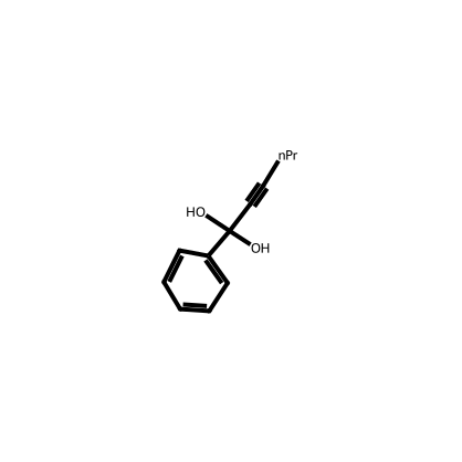 CCCC#CC(O)(O)c1ccccc1